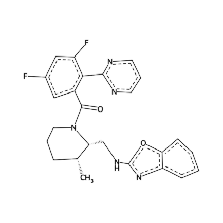 C[C@@H]1CCCN(C(=O)c2cc(F)cc(F)c2-c2ncccn2)[C@@H]1CNc1nc2ccccc2o1